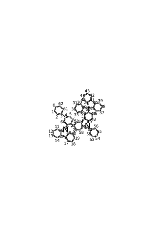 c1ccc(-c2cccc(-n3c4ccccc4c4cccc(-c5ccc6c7cc(C8(c9ccccc9)c9ccccc9-c9ccccc98)ccc7n(-c7ccccc7)c6c5)c43)c2)cc1